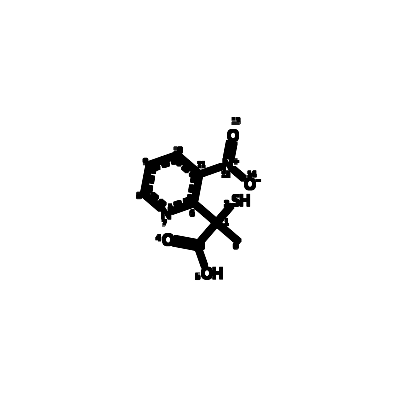 CC(S)(C(=O)O)c1ncccc1[N+](=O)[O-]